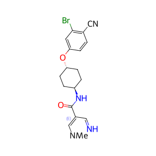 CN/C=C(\C=N)C(=O)N[C@H]1CC[C@H](Oc2ccc(C#N)c(Br)c2)CC1